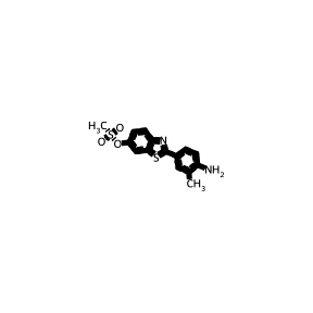 Cc1cc(-c2nc3ccc(OS(C)(=O)=O)cc3s2)ccc1N